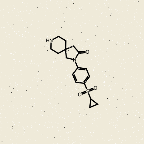 O=C1CC2(CCNCC2)CN1c1ccc(S(=O)(=O)C2CC2)cc1